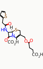 O=C(O)CCC(=O)OCC1=C(C(=O)O)N2C(=O)[C@@H](NC(=O)Cc3cccs3)[C@H]2SC1